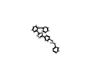 c1ccc(CNCc2ccc(-c3nnc4n3-c3cccnc3Nc3ccccc3-4)cc2)cc1